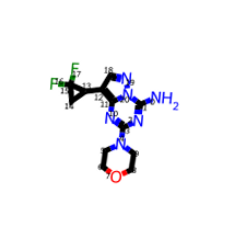 Nc1nc(N2CCOCC2)nc2c(C3CC3(F)F)cnn12